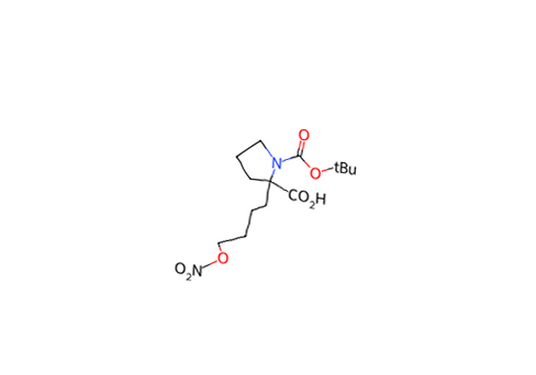 CC(C)(C)OC(=O)N1CCCC1(CCCCO[N+](=O)[O-])C(=O)O